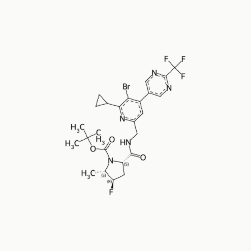 C[C@H]1[C@H](F)C[C@@H](C(=O)NCc2cc(-c3cnc(C(F)(F)F)nc3)c(Br)c(C3CC3)n2)N1C(=O)OC(C)(C)C